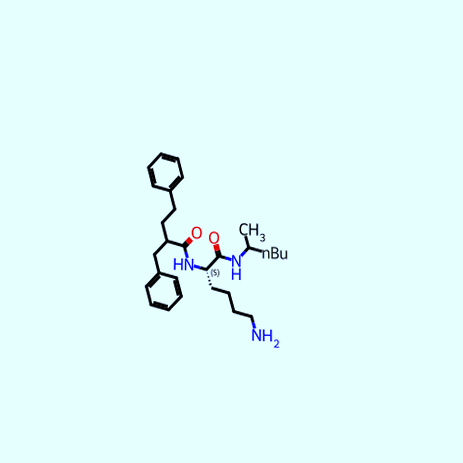 CCCCC(C)NC(=O)[C@H](CCCCN)NC(=O)C(CCc1ccccc1)Cc1ccccc1